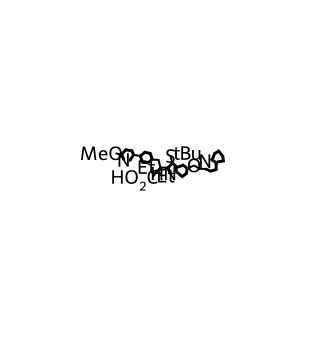 CCC(CC)(C(=O)O)C(Cc1ccc(-c2ccc(OC)nc2)cc1)c1[nH]c2ccc(OCc3ccc4ccccc4n3)cc2c1SC(C)(C)C